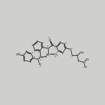 CCN(CC)CC(O)COc1ccc(C(=O)N2c3ccccc3[C@H](N(C(C)=O)c3ccc(Cl)cc3)C[C@@H]2C)cc1